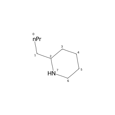 CCCCC1CCCCN1